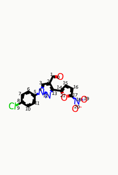 O=Cc1cn(-c2ccc(Cl)cc2)nc1-c1ccc([N+](=O)[O-])o1